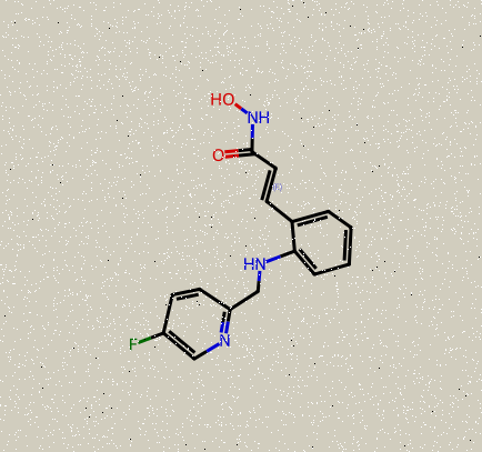 O=C(/C=C/c1ccccc1NCc1ccc(F)cn1)NO